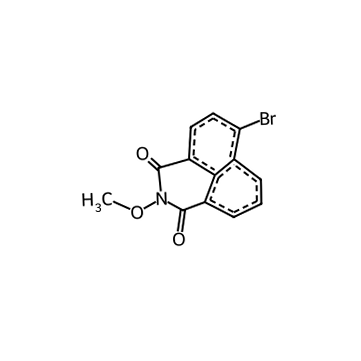 CON1C(=O)c2cccc3c(Br)ccc(c23)C1=O